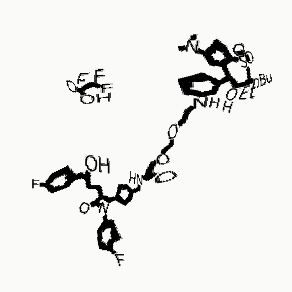 CCCCC1(CC)CS(=O)(=O)c2ccc(N(C)C)cc2C(c2cccc(NCCOCCOCC(=O)NCc3ccc(C4C(CCC(O)c5ccc(F)cc5)C(=O)N4c4ccc(F)cc4)cc3)c2)C1O.O=C(O)C(F)(F)F